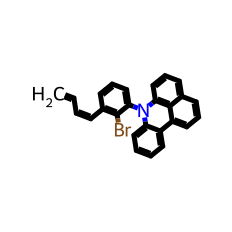 C=C/C=C\c1cccc(N2c3ccccc3-c3cccc4cccc2c34)c1Br